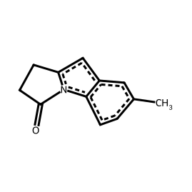 Cc1ccc2c(c1)cc1n2C(=O)CC1